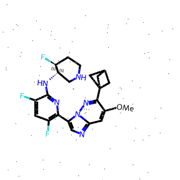 COc1cc2ncc(-c3nc(N[C@H]4CNCC[C@@H]4F)c(F)cc3F)n2nc1C12CC(C1)C2